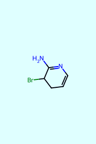 NC1=NC=CCC1Br